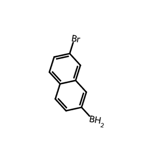 Bc1ccc2ccc(Br)cc2c1